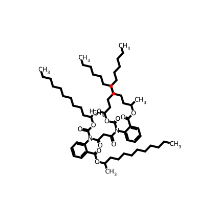 CCCCCCCCCCC(C)OC(=O)c1ccccc1N(C(=O)CC(=O)N(C(=O)OC(C)CCCCCCCCCC)c1ccccc1C(=O)OC(C)CCCCCCCCCC)C(=O)OC(C)CCCCCCCCCC